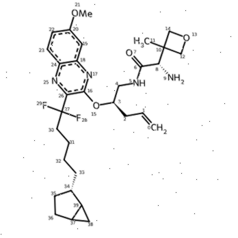 C=CC[C@H](CNC(=O)[C@@H](N)C1(C)COC1)Oc1nc2cc(OC)ccc2nc1C(F)(F)CCCC[C@H]1CCC2CC21